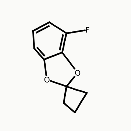 Fc1cccc2c1OC1(CCC1)O2